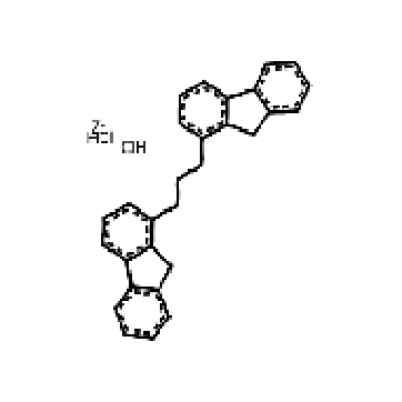 Cl.Cl.[Zr].c1ccc2c(c1)Cc1c(CCCc3cccc4c3Cc3ccccc3-4)cccc1-2